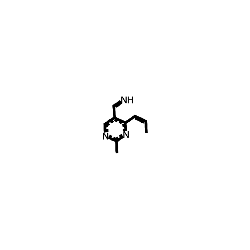 C/C=C\c1nc(C)ncc1C=N